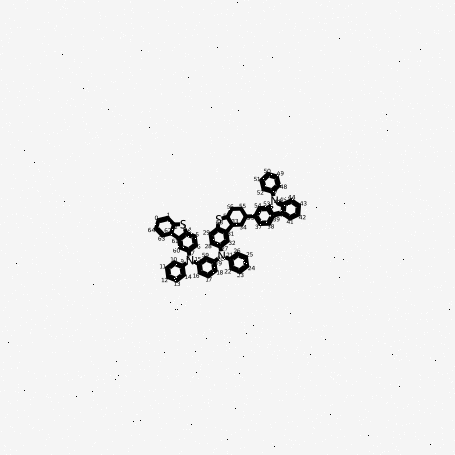 C1=CC2Sc3ccc(N(c4ccccc4)c4cccc(N(c5ccccc5)c5ccc6c(c5)C5CC(c7ccc8c9ccccc9n(-c9ccccc9)c8c7)CCC5S6)c4)cc3C2C=C1